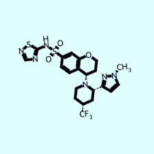 Cn1ccc([C@@H]2C[C@H](C(F)(F)F)CCN2[C@H]2CCOc3cc(S(=O)(=O)Nc4ncns4)ccc32)n1